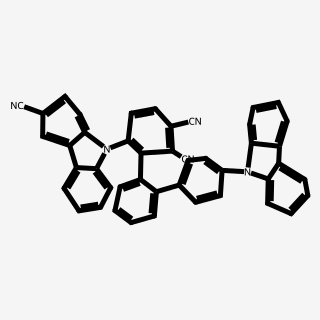 N#Cc1ccc2c(c1)c1ccccc1n2-c1ccc(C#N)c(C#N)c1-c1ccccc1-c1ccc(-n2c3ccccc3c3ccccc32)cc1